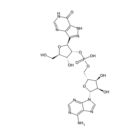 Nc1ncnc2c1ncn2[C@@H]1O[C@H](COP(=O)(O)O[C@@H]2[C@H](O)[C@@H](CO)O[C@H]2c2n[nH]c3c(=O)[nH]cnc23)[C@@H](O)[C@H]1O